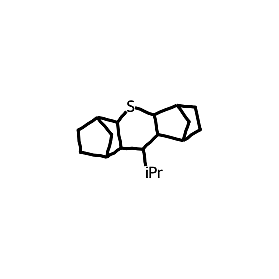 CC(C)C1C2C3CCC(C3)C2SC2C3CCC(C3)C21